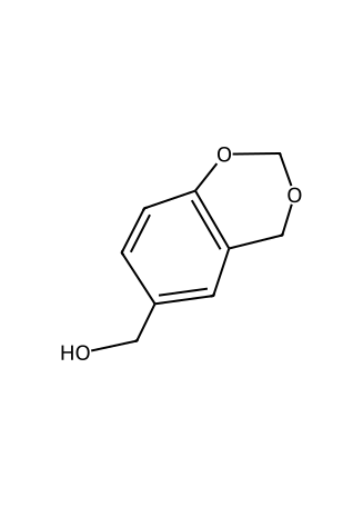 OCc1ccc2c(c1)COCO2